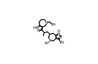 CC(C)CN1CCCc2[nH]nc(C(C)CC3Cc4[nH]nc(C(C)C)c4CN(C(C)C)C3)c2C1